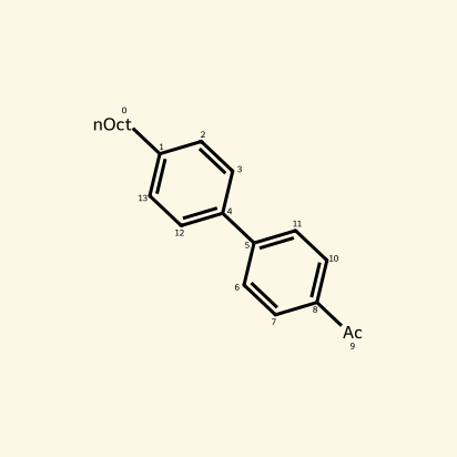 CCCCCCCCc1ccc(-c2ccc(C(C)=O)cc2)cc1